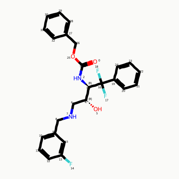 O=C(N[C@H]([C@H](O)CNCc1cccc(F)c1)C(F)(F)c1ccccc1)OCc1ccccc1